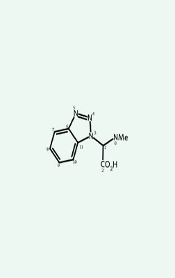 CNC(C(=O)O)n1nnc2ccccc21